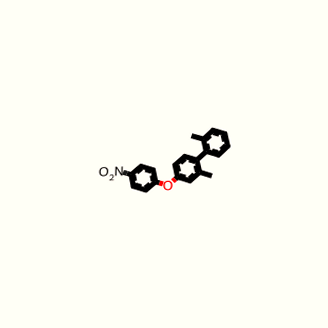 Cc1ccccc1-c1ccc(Oc2ccc([N+](=O)[O-])cc2)cc1C